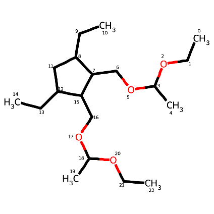 CCOC(C)OCC1C(CC)CC(CC)C1COC(C)OCC